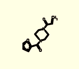 C=CC(=O)N1CCN(C(=O)c2ccco2)CC1